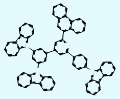 c1ccc2c(c1)cc(-c1cc(-c3cc(-n4c5ccccc5c5ccccc54)cc(-n4c5ccccc5c5ccccc54)c3)cc(-c3ccc(-n4c5ccccc5c5ccccc54)cc3)n1)c1ccccc12